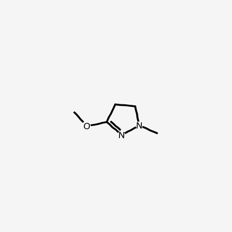 COC1=NN(C)CC1